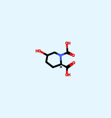 O=C(O)[C@H]1CCC(O)CN1C(=O)O